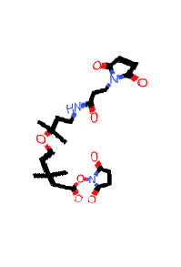 CC(C)(CCOC(C)(C)CCNC(=O)CCN1C(=O)C=CC1=O)CC(=O)ON1C(=O)CCC1=O